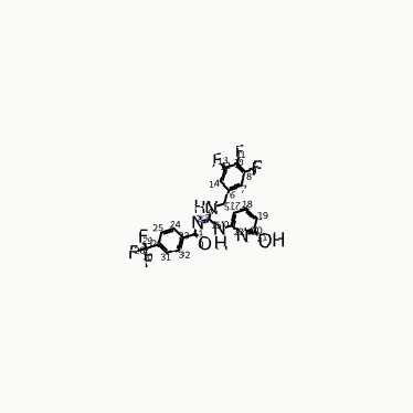 O=C(/N=C(/NCc1cc(F)c(F)c(F)c1)Nc1cccc(O)n1)c1ccc(C(F)(F)F)cc1